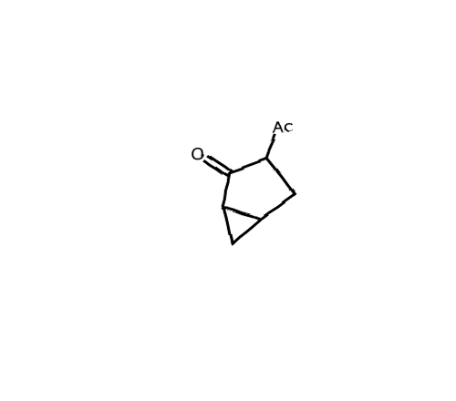 CC(=O)C1CC2CC2C1=O